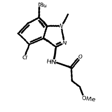 COCCC(=O)Nc1nn(C)c2c(C(C)(C)C)ccc(Cl)c12